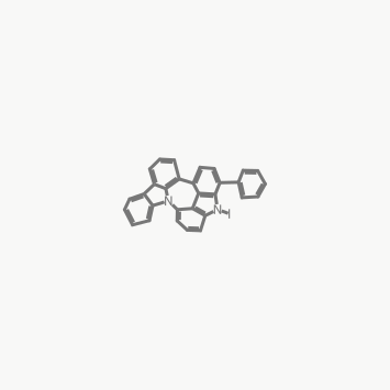 In1c2cccc3c2c2c(ccc(-c4ccccc4)c21)c1cccc2c4ccccc4n3c12